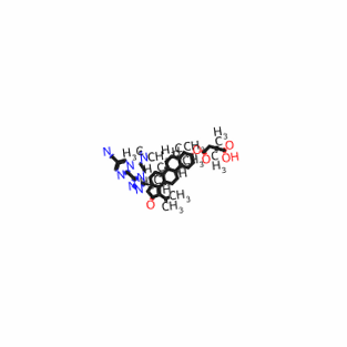 CC(C)C1=C2[C@H]3CC[C@@H]4[C@@]5(C)CC[C@H](OC(=O)CC(C)(C)C(=O)O)C(C)(C)[C@@H]5CC[C@@]4(C)[C@]3(C)CC[C@@]2(c2nnc(-c3ncc(C#N)cn3)n2CCN(C)C)CC1=O